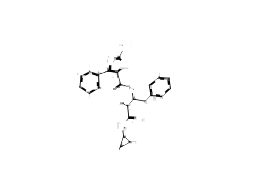 Cc1nc(-c2ccccc2)c(C(=O)NC(Cc2ccccc2)C(O)C(=O)NC2CC2)o1